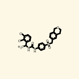 CC(NC(=O)Nc1ccc(S(=O)(=O)Cc2ccc3c(c2)CCOC3)cc1)c1cccc(Cl)c1Cl